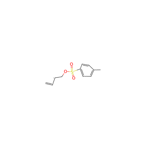 C=C[CH]COS(=O)(=O)c1ccc(C)cc1